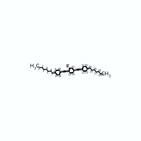 CCCCCCCCc1ccc(C#Cc2ccc(C#Cc3ccc(CCCCCCC)cc3)cc2F)cc1